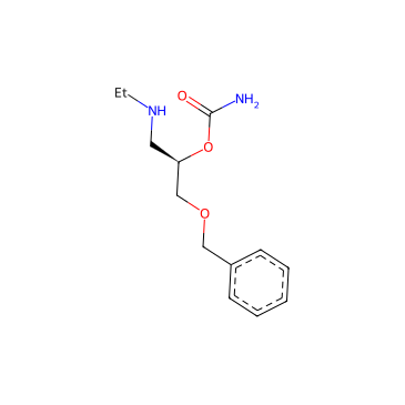 CCNC[C@H](COCc1ccccc1)OC(N)=O